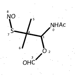 CC(=O)NC(OC=O)C(C)(C)SN=O